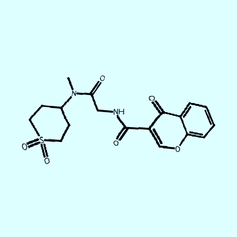 CN(C(=O)CNC(=O)c1coc2ccccc2c1=O)C1CCS(=O)(=O)CC1